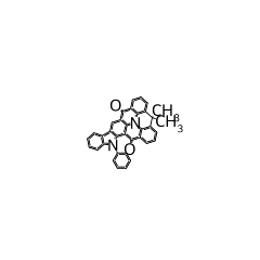 CC1(C)c2cccc3c(=O)c4cc5c6ccccc6n(-c6ccccc6)c5c5c(=O)c6cccc1c6n(c23)c45